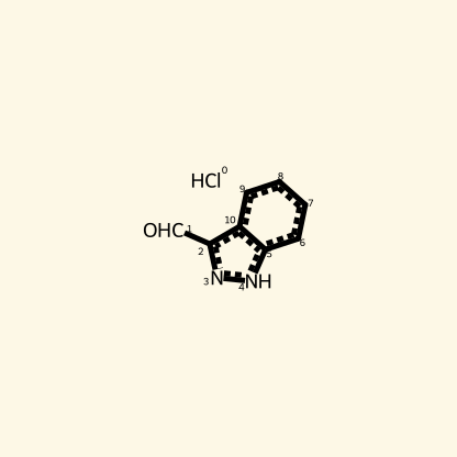 Cl.O=Cc1n[nH]c2ccccc12